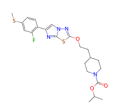 CSc1ccc(-c2cn3nc(OCCC4CCN(C(=O)OC(C)C)CC4)sc3n2)c(F)c1